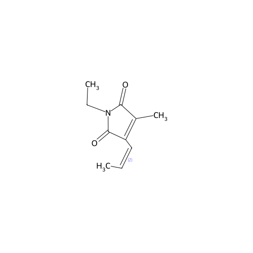 C/C=C\C1=C(C)C(=O)N(CC)C1=O